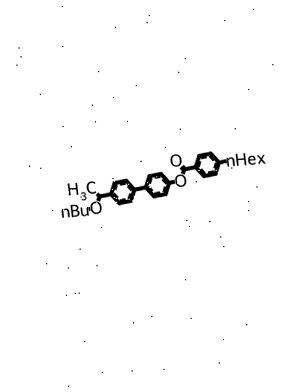 CCCCCCc1ccc(C(=O)Oc2ccc(-c3ccc(C(C)OCCCC)cc3)cc2)cc1